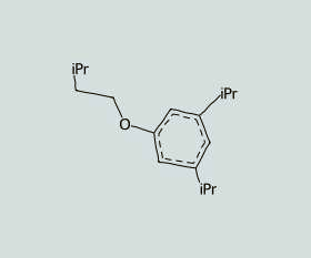 CC(C)CCOc1cc(C(C)C)cc(C(C)C)c1